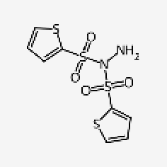 NN(S(=O)(=O)c1cccs1)S(=O)(=O)c1cccs1